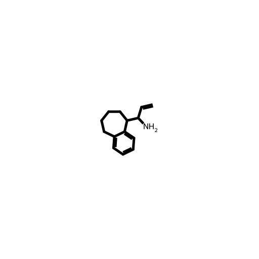 C=CC(N)C1CCCCc2ccccc21